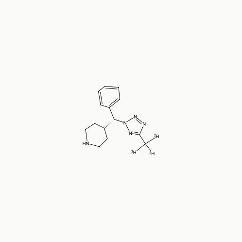 [2H]C([2H])([2H])c1nnn([C@@H](c2ccccc2)C2CCNCC2)n1